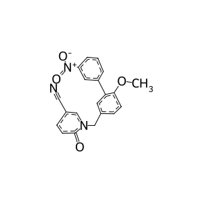 COc1ccc(Cn2cc(C#N)ccc2=O)cc1-c1cccc([N+](=O)[O-])c1